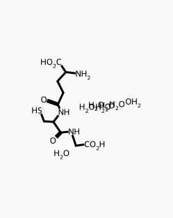 NC(CCC(=O)NC(CS)C(=O)NCC(=O)O)C(=O)O.O.O.O.O.O.O.O